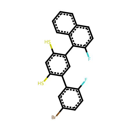 Fc1ccc(Br)cc1-c1cc(-c2c(F)ccc3ccccc23)c(S)cc1S